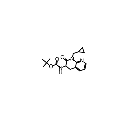 CC(C)(C)OC(=O)NC1Cc2cccnc2N(CC2CC2)C1=O